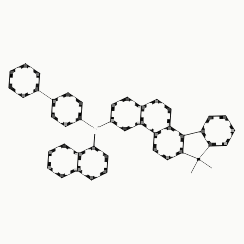 CC1(C)c2ccccc2-c2c1ccc1c2ccc2ccc(N(c3ccc(-c4ccccc4)cc3)c3cccc4ccccc34)cc21